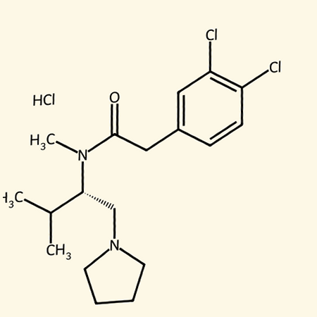 CC(C)[C@@H](CN1CCCC1)N(C)C(=O)Cc1ccc(Cl)c(Cl)c1.Cl